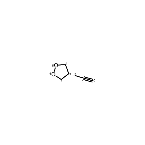 C#C[CH2].C1COOC1